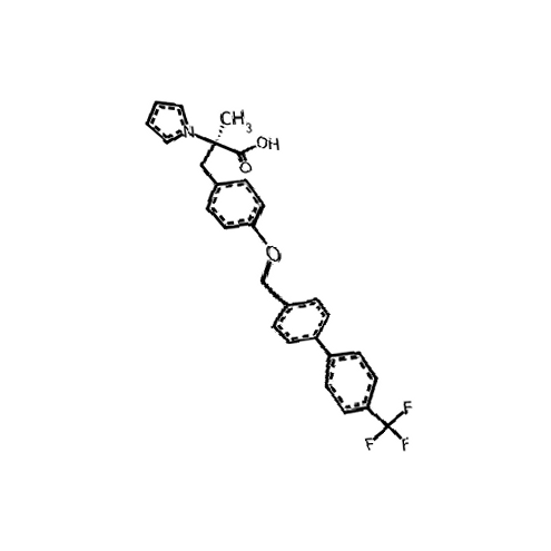 C[C@@](Cc1ccc(OCc2ccc(-c3ccc(C(F)(F)F)cc3)cc2)cc1)(C(=O)O)n1cccc1